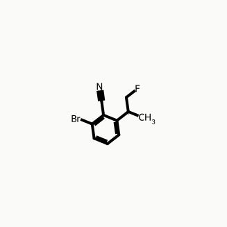 C[C](CF)c1cccc(Br)c1C#N